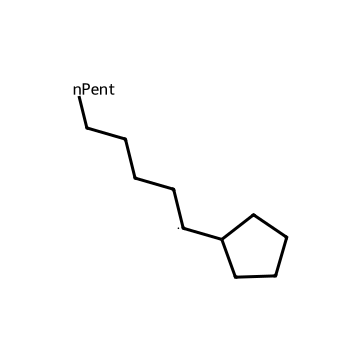 [CH2]CCCCCCCC[CH]C1CCCC1